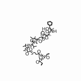 C=CC(=O)N1CN(C(=O)C=C)CN(C(=O)CCSCC(=O)N(C)[C@H](C(=O)N[C@H](C(=O)N(C)[C@@H]([C@H](C)CC)[C@@H](CC(=O)N2CCC[C@H]2[C@H](OC)[C@@H](C)C(=O)N[C@H](C)[C@@H](O)c2ccccc2)OC)C(C)C)C(C)C)C1